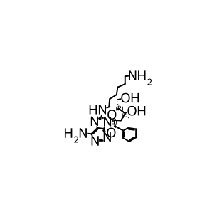 NCCCCCCNc1nc2c(N)ncnc2n1[C@@]1(C(=O)c2ccccc2)C[C@H](O)[C@@H](CO)O1